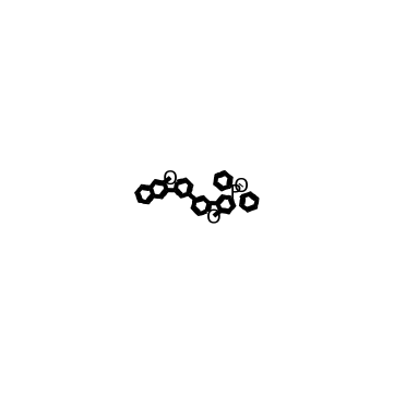 O=P(c1ccccc1)(c1ccccc1)c1ccc2oc3ccc(-c4ccc5oc6cc7ccccc7cc6c5c4)cc3c2c1